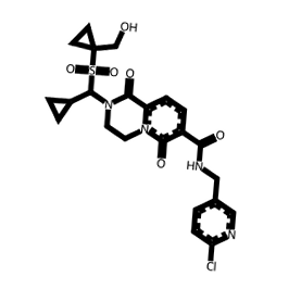 O=C(NCc1ccc(Cl)nc1)c1ccc2n(c1=O)CCN(C(C1CC1)S(=O)(=O)C1(CO)CC1)C2=O